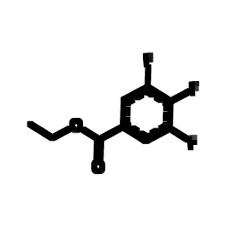 CCOC(=O)c1cc(F)c(F)c(F)c1